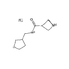 Cl.O=C(NCC1CCOC1)C1CNC1